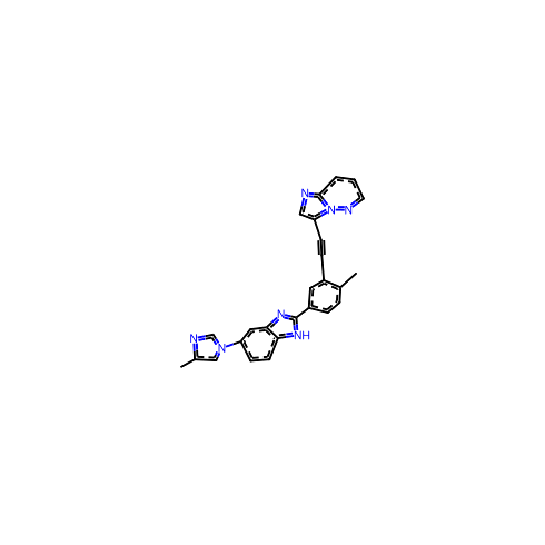 Cc1cn(-c2ccc3[nH]c(-c4ccc(C)c(C#Cc5cnc6cccnn56)c4)nc3c2)cn1